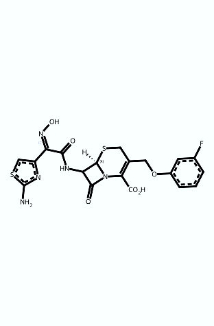 Nc1nc(/C(=N/O)C(=O)NC2C(=O)N3C(C(=O)O)=C(COc4cccc(F)c4)CS[C@H]23)cs1